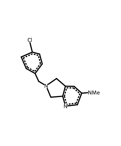 CNc1cnc2c(c1)CN(Cc1ccc(Cl)cc1)C2